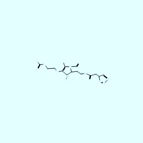 C[C@@H](NC(=O)CC1C=NN=N1)[C@H]1C(=O)N2C(C(=O)O)=C(SCCNC(=N)N)[C@H](C)[C@H]12